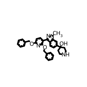 Cn1nc(-c2ccc(OCc3ccccc3)nc2OCc2ccccc2)c2ccc(C3(O)CCNCC3)cc21